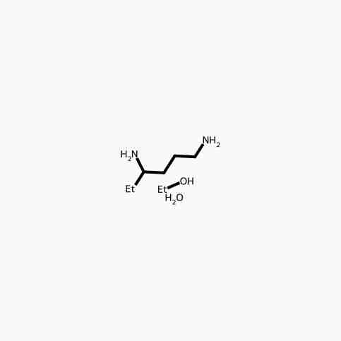 CCC(N)CCCN.CCO.O